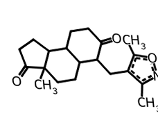 Cc1noc(C)c1CC1C(=O)CCC2C1CCC1(C)C(=O)CCC21